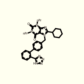 CCCn1c(=O)c2c(nc(C3CCCCC3)n2Cc2ccc(-c3ccccc3-c3nnn[nH]3)cc2)n(CCC)c1=O